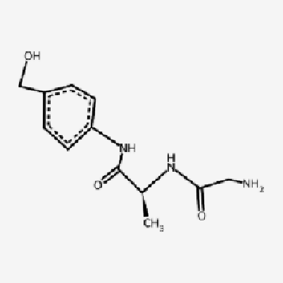 C[C@H](NC(=O)CN)C(=O)Nc1ccc(CO)cc1